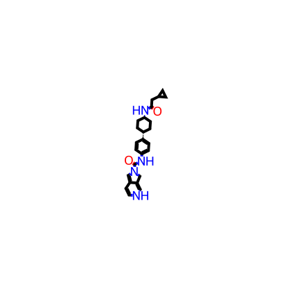 O=C(CC1CC1)N[C@H]1CC[C@@H](c2ccc(NC(=O)N3C=C4C=CNC=C4C3)cc2)CC1